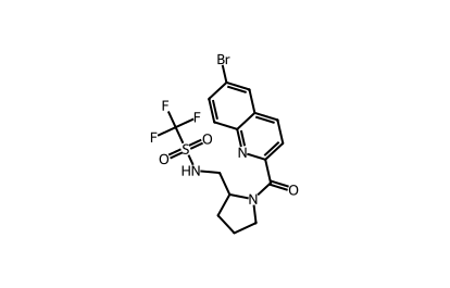 O=C(c1ccc2cc(Br)ccc2n1)N1CCCC1CNS(=O)(=O)C(F)(F)F